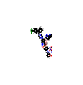 Cc1cc(C(F)(F)F)ccc1C1=C(CN2CCN(c3ccc(C(=O)NS(=O)(=O)c4ccc(NCC5CCCOC5)c([N+](=O)[O-])c4)c(Oc4cnc5[nH]ccc5c4)c3)CC2)CCC(C)(C)C1